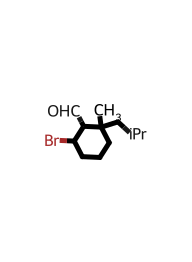 CC(C)CC1(C)CCCC(Br)C1C=O